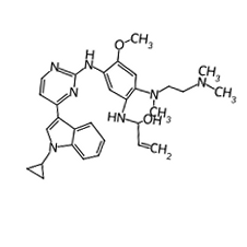 C=CC(O)Nc1cc(Nc2nccc(-c3cn(C4CC4)c4ccccc34)n2)c(OC)cc1N(C)CCN(C)C